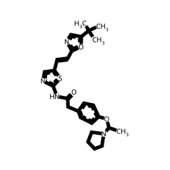 CC(Oc1ccc(CC(=O)Nc2ncc(C=Cc3ncc(C(C)(C)C)o3)s2)cc1)N1CCCC1